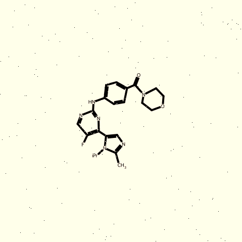 Cc1ncc(-c2nc(Nc3ccc(C(=O)N4CCOCC4)cc3)ncc2F)n1C(C)C